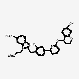 COCCn1c(Cc2ccc(-c3cccc(OC4CCOc5cc(C#N)ccc54)n3)cc2F)nc2ccc(C(=O)O)cc21